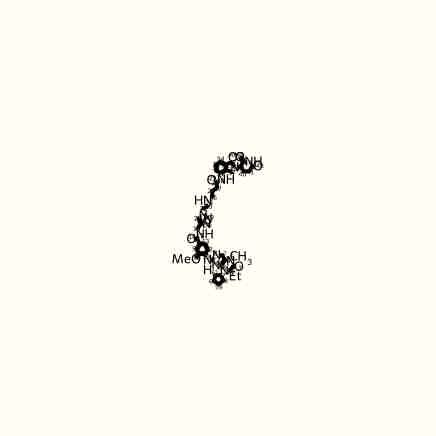 CC[C@@H]1C(=O)N(C)c2cnc(Nc3ccc(C(=O)NCc4cn(CCNCCCC(=O)Nc5cccc6c5CN(C5CCC(=O)NC5=O)C6=O)nn4)cc3OC)nc2N1C1CCCC1